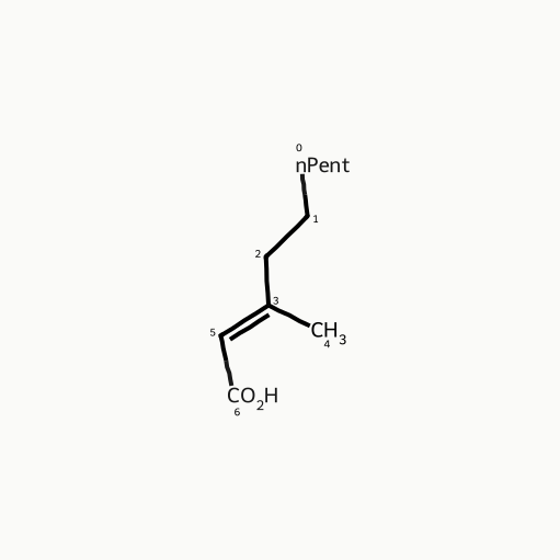 CCCCCCC/C(C)=C/C(=O)O